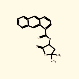 CC1(C)CC(OC(=O)c2cccc3cc4ccccc4cc23)C(=O)O1